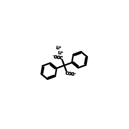 O=C([O-])C(C(=O)[O-])(c1ccccc1)c1ccccc1.[Li+].[Li+]